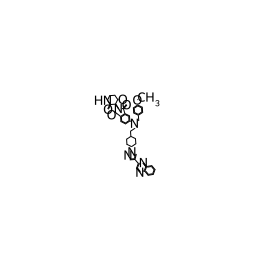 COc1ccc(CN(CCC2CCC(n3cc(-c4cnc5ccccc5n4)cn3)CC2)c2ccc3c(c2)C(=O)N(C2C(=O)CCNC2=O)C3=O)cc1